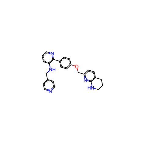 c1cnc(-c2ccc(OCc3ccc4c(n3)NCCC4)cc2)c(NCc2ccncc2)c1